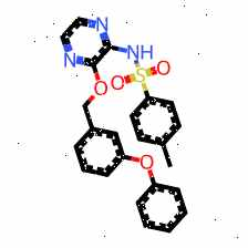 Cc1ccc(S(=O)(=O)Nc2nccnc2OCc2cccc(Oc3ccccc3)c2)cc1